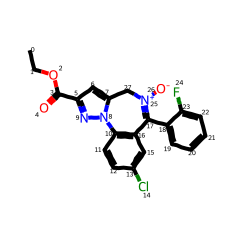 CCOC(=O)c1cc2n(n1)-c1ccc(Cl)cc1C(c1ccccc1F)=[N+]([O-])C2